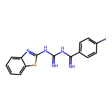 N=C(NC(=N)c1ccc(I)cc1)Nc1nc2ccccc2s1